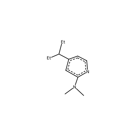 CCC(CC)c1ccnc(N(C)C)c1